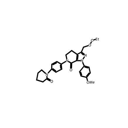 CCOOCc1nn(-c2ccc(OC)cc2)c2c1CCN(c1ccc(N3CCCCC3=O)cc1)C2=O